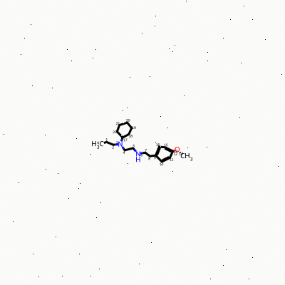 CCCN(CCNCCc1ccc(OC)cc1)C1CCCCC1